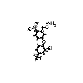 NOCc1cc(Oc2ccc(C(F)(F)F)cc2Cl)ccc1[N+](=O)[O-]